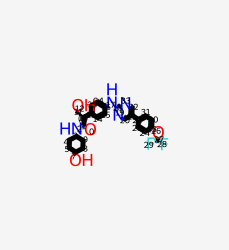 O=C(N[C@H]1CC[C@H](O)CC1)[C@@H](CO)c1ccc(Nc2ncc(-c3ccc(OC(F)F)cc3)cn2)cc1